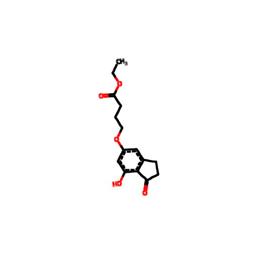 CCOC(=O)CCCOc1cc(O)c2c(c1)CCC2=O